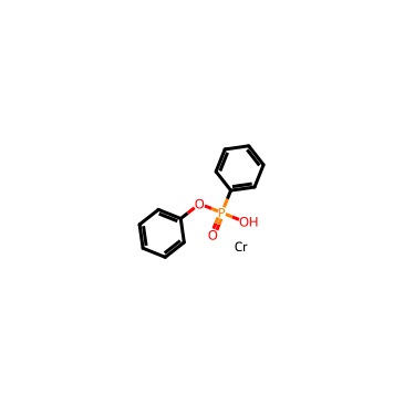 O=P(O)(Oc1ccccc1)c1ccccc1.[Cr]